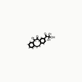 CCC(O)(CC)C(=O)c1ccc2c(c1)C(=O)C(=O)c1ccccc1CC2